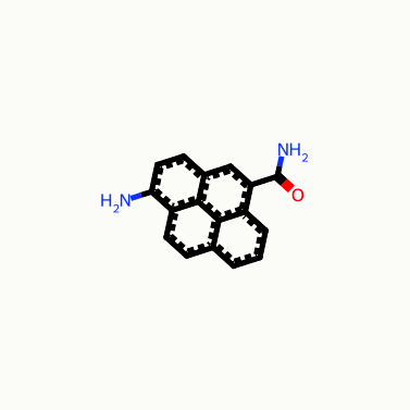 NC(=O)c1cc2ccc(N)c3ccc4cccc1c4c23